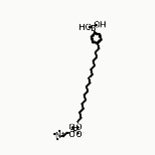 C[N+](C)(C)CCOP(=O)([O-])OCCCCCCCCCCCCCCCCCCc1ccc(B(O)O)cc1